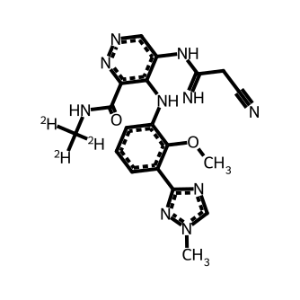 [2H]C([2H])([2H])NC(=O)c1nncc(NC(=N)CC#N)c1Nc1cccc(-c2ncn(C)n2)c1OC